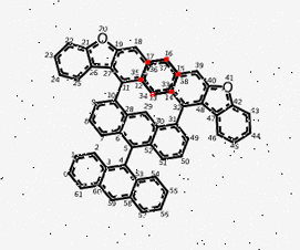 c1ccc2c(-c3c4cccc(-c5c6ccccc6cc6oc7ccccc7c56)c4cc4c(-c5c6ccccc6cc6oc7ccccc7c56)cccc34)c3ccccc3cc2c1